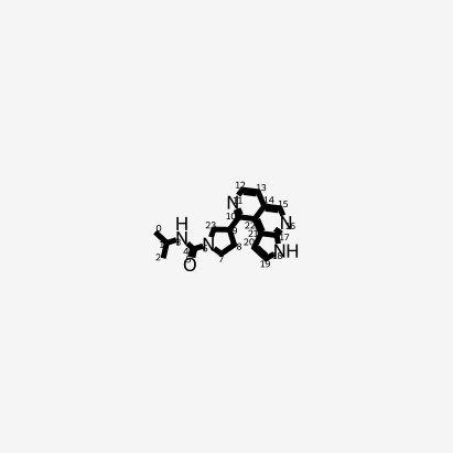 CC(C)NC(=O)N1CCC(c2nccc3cnc4[nH]ccc4c23)C1